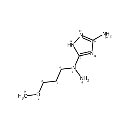 COCCCN(N)c1nc(N)n[nH]1